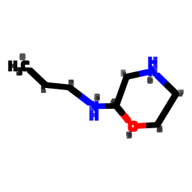 CCCNC1CNCCO1